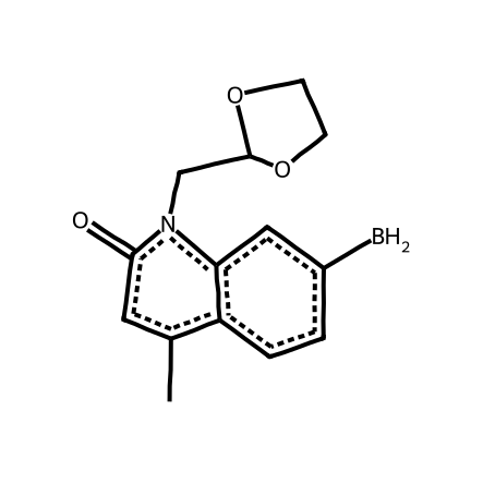 Bc1ccc2c(C)cc(=O)n(CC3OCCO3)c2c1